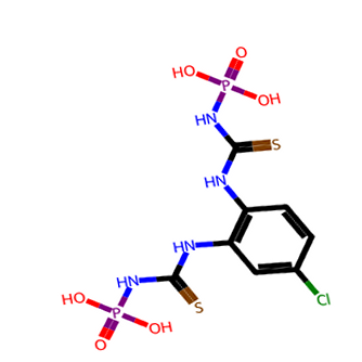 O=P(O)(O)NC(=S)Nc1ccc(Cl)cc1NC(=S)NP(=O)(O)O